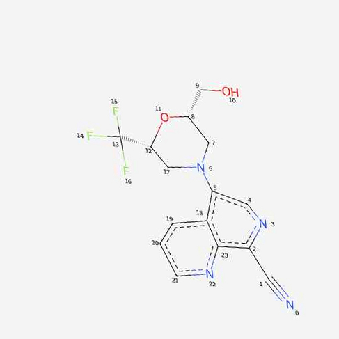 N#Cc1ncc(N2C[C@@H](CO)O[C@@H](C(F)(F)F)C2)c2cccnc12